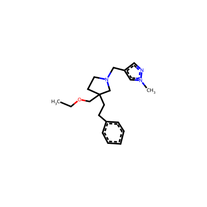 CCOCC1(CCc2ccccc2)CCN(Cc2cnn(C)c2)C1